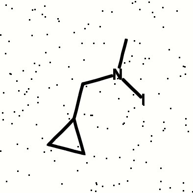 CN(I)CC1CC1